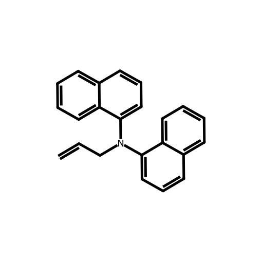 C=CCN(c1cccc2ccccc12)c1cccc2ccccc12